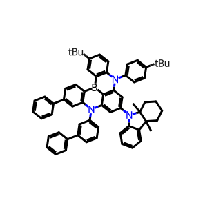 CC(C)(C)c1ccc(N2c3ccc(C(C)(C)C)cc3B3c4ccc(-c5ccccc5)cc4N(c4cccc(-c5ccccc5)c4)c4cc(N5c6ccccc6C6(C)CCCCC56C)cc2c43)cc1